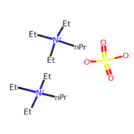 CCC[N+](CC)(CC)CC.CCC[N+](CC)(CC)CC.O=S(=O)([O-])[O-]